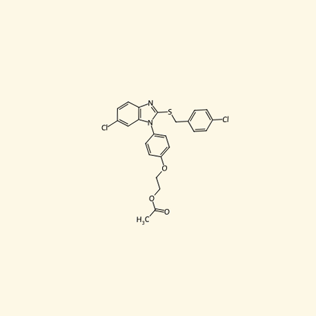 CC(=O)OCCOc1ccc(-n2c(SCc3ccc(Cl)cc3)nc3ccc(Cl)cc32)cc1